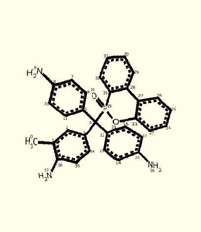 Cc1cc(C(c2ccc(N)cc2)(c2ccc(N)cc2)P2(=O)Oc3ccccc3-c3ccccc32)ccc1N